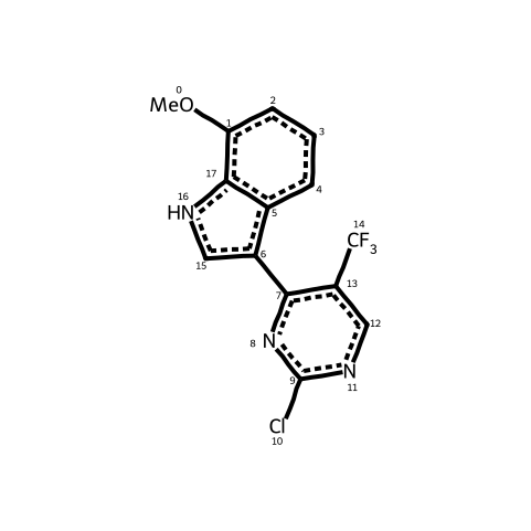 COc1cccc2c(-c3nc(Cl)ncc3C(F)(F)F)c[nH]c12